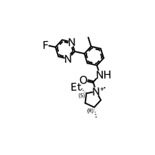 CC[C@H]1C[C@@H](C)C[N+]1(C)C(=O)Nc1ccc(C)c(-c2ncc(F)cn2)c1